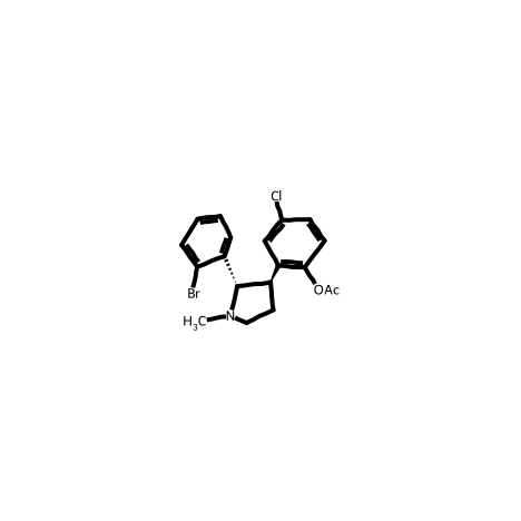 CC(=O)Oc1ccc(Cl)cc1[C@H]1CCN(C)[C@@H]1c1ccccc1Br